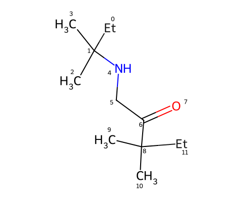 CCC(C)(C)NCC(=O)C(C)(C)CC